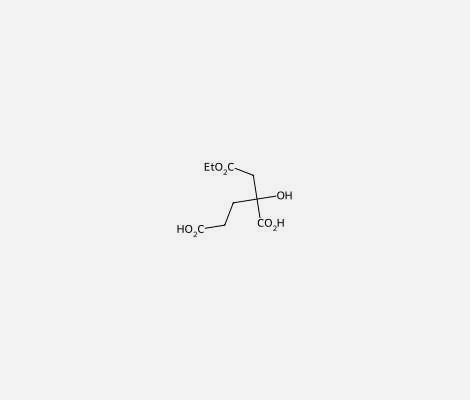 CCOC(=O)CC(O)(CCC(=O)O)C(=O)O